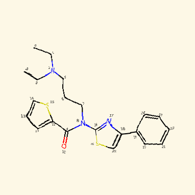 CCN(CC)CCCN(C(=O)c1cccs1)c1nc(-c2ccccc2)cs1